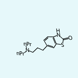 CCCN(CCC)CCCc1ccc2[nH]c(=O)sc2c1